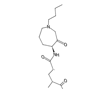 CCCCN1CCC[C@H](NC(=O)[CH]CC(C)C(N)=O)C(=O)C1